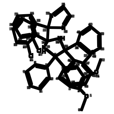 COc1ccc(C2(c3ccccc3)NC(c3ccccc3Cl)(C3(c4ccccc4Cl)N=CC=N3)NC2(c2ccccc2)c2ccccc2Cl)cc1OC